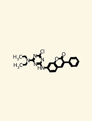 CCN(CC)c1nc(Cl)nc(Nc2ccc3cc(-c4ccccc4)c(=O)oc3c2)n1